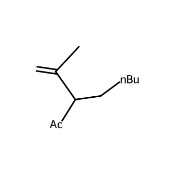 C=C(C)C(CCCCC)C(C)=O